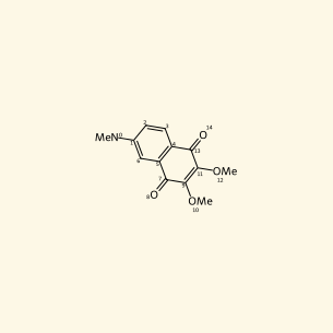 CNc1ccc2c(c1)C(=O)C(OC)=C(OC)C2=O